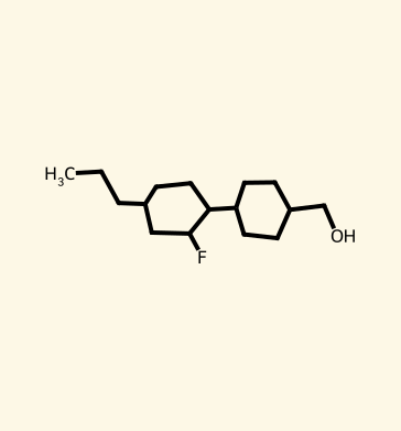 CCCC1CCC(C2CCC(CO)CC2)C(F)C1